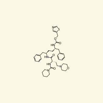 O=C(N[C@H](CC[C@H](Cc1ccccc1)NC(=O)[C@H](CCN1CCOCC1)NC(=O)N1CCCCC1)Cc1ccccc1)OCc1cncs1